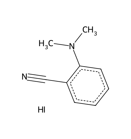 CN(C)c1ccccc1C#N.I